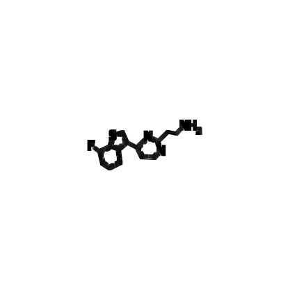 NCCc1nccc(-c2csc3c(F)cccc23)n1